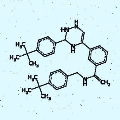 C=C(NCc1ccc(C(C)(C)C)cc1)c1cccc(C2=CNNC(c3ccc(C(C)(C)C)cc3)N2)c1